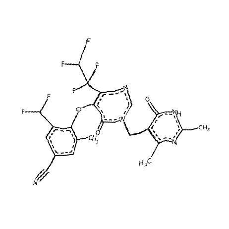 Cc1nc(C)c(Cn2cnc(C(F)(F)C(F)F)c(Oc3c(C)cc(C#N)cc3C(F)F)c2=O)c(=O)[nH]1